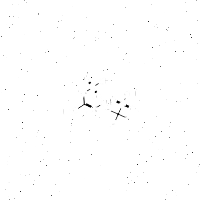 C/N=C(/C)OS(=O)(=O)C(F)(F)F.O=S(=O)(O)C(F)(F)F